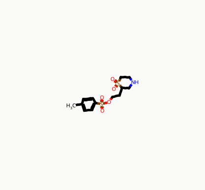 Cc1ccc(S(=O)(=O)OCCC2CNCCS2(=O)=O)cc1